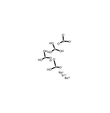 OB(O)O.OB(O)O.[Ba+2].[Na+].[O-]B([O-])O.[O-]B([O-])[O-].[Sr+2]